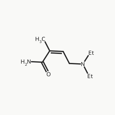 CCN(CC)CC=C(C)C(N)=O